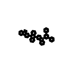 CC1(C)c2ccccc2-c2ccc(-c3c4ccccc4c(-c4ccc5c(c4)c4ccccc4n5-c4cc(-c5ccccc5)cc(-c5ccccc5)c4)c4ccccc34)cc21